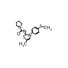 CSc1ccc(-n2cc(C)s/c2=N\C(=O)N2CCCC2)cc1